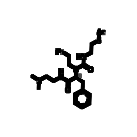 CC(=O)SCCNC(=O)N(CCC(C)C)[C@@H](Cc1ccccc1)C(=O)NCCN(C)C